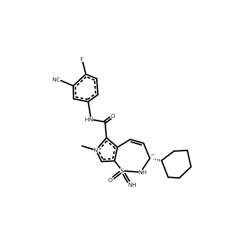 Cn1cc2c(c1C(=O)Nc1ccc(F)c(C#N)c1)C=C[C@H](C1CCCCC1)NS2(=N)=O